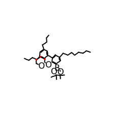 CCCCCCCCc1cc(B2OC(C)(C)C(C)(C)O2)c(OC2CCCCO2)c(-c2cc(CCCC)cc(CCCC)c2)c1